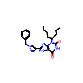 CCCCC(CCC)n1c(=O)[nH]c(=O)c2[nH]c(-c3cnn(Cc4ccccc4)c3)nc21